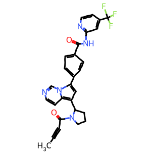 CC#CC(=O)N1CCCC1c1cc(-c2ccc(C(=O)Nc3cc(C(F)(F)F)ccn3)cc2)n2cnccc12